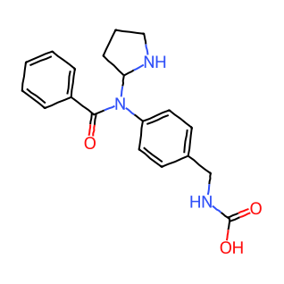 O=C(O)NCc1ccc(N(C(=O)c2ccccc2)C2CCCN2)cc1